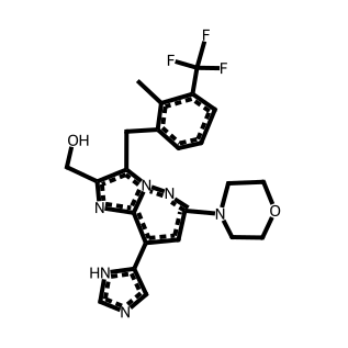 Cc1c(Cc2c(CO)nc3c(-c4cnc[nH]4)cc(N4CCOCC4)nn23)cccc1C(F)(F)F